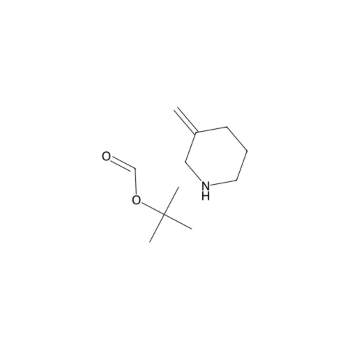 C=C1CCCNC1.CC(C)(C)OC=O